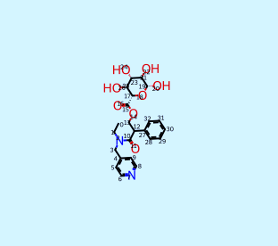 CCN(Cc1ccncc1)C(=O)C(COC(=O)[C@H]1O[C@@H](O)[C@H](O)[C@@H](O)[C@@H]1O)c1ccccc1